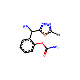 CCc1nnc(C(N)c2ccccc2OC(N)=O)s1